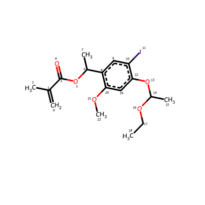 C=C(C)C(=O)OC(C)c1cc(I)c(OC(C)OCC)cc1OC